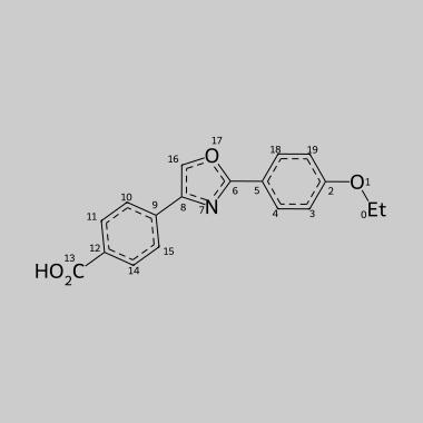 CCOc1ccc(-c2nc(-c3ccc(C(=O)O)cc3)co2)cc1